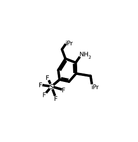 CC(C)Cc1cc(S(F)(F)(F)(F)F)cc(CC(C)C)c1N